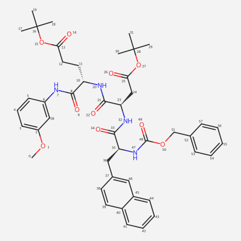 COc1cccc(NC(=O)[C@H](CCC(=O)OC(C)(C)C)NC(=O)[C@@H](CC(=O)OC(C)(C)C)NC(=O)[C@H](Cc2ccc3ccccc3c2)NC(=O)OCc2ccccc2)c1